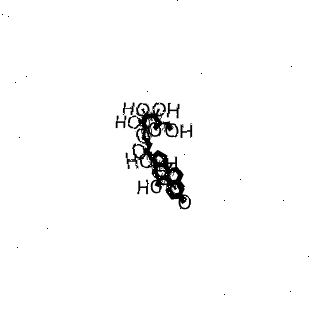 C[C@]12C=CC(=O)C=C1CC[C@@H]1[C@@H]2C(O)C[C@@]2(C)[C@H]1CC[C@]2(O)C(=O)CO[C@@H]1O[C@H](CO)[C@H](O)[C@H](O)[C@H]1O